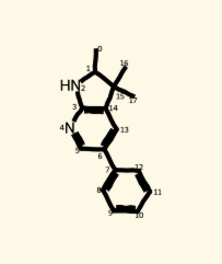 CC1Nc2ncc(-c3ccccc3)cc2C1(C)C